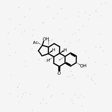 CC(=O)[C@@]1(O)CC[C@H]2[C@@H]3CC(=O)C4=C[C@@H](O)C=C[C@]4(C)[C@H]3CC[C@@]21C